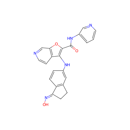 O=C(Nc1cccnc1)c1oc2cnccc2c1Nc1ccc2c(c1)CC/C2=N\O